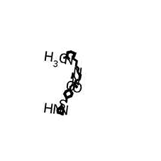 Cc1cccc(CCCN2CCN(C(=O)Oc3ccc(CSc4ncc[nH]4)cc3)CC2)n1